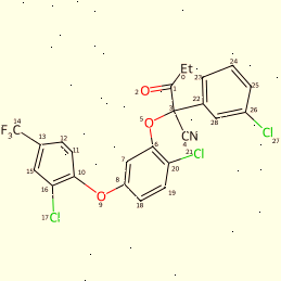 CCC(=O)C(C#N)(Oc1cc(Oc2ccc(C(F)(F)F)cc2Cl)ccc1Cl)c1cccc(Cl)c1